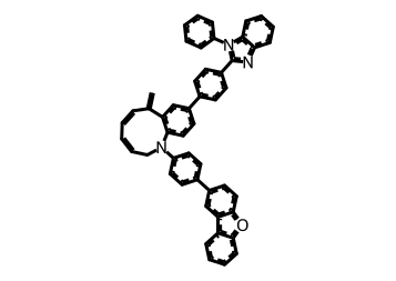 C=C1/C=C\C=C/CN(c2ccc(-c3ccc4oc5ccccc5c4c3)cc2)c2ccc(-c3ccc(-c4nc5ccccc5n4-c4ccccc4)cc3)cc21